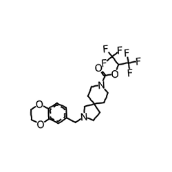 O=C(OC(C(F)(F)F)C(F)(F)F)N1CCC2(CCN(Cc3ccc4c(c3)OCCO4)C2)CC1